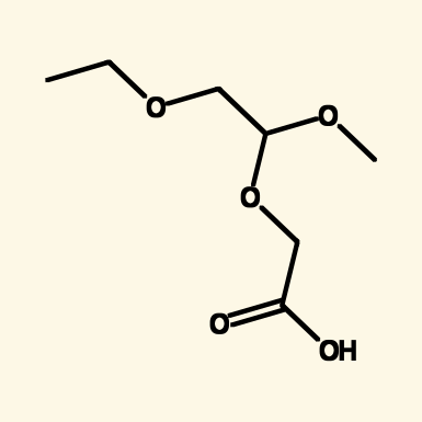 CCOCC(OC)OCC(=O)O